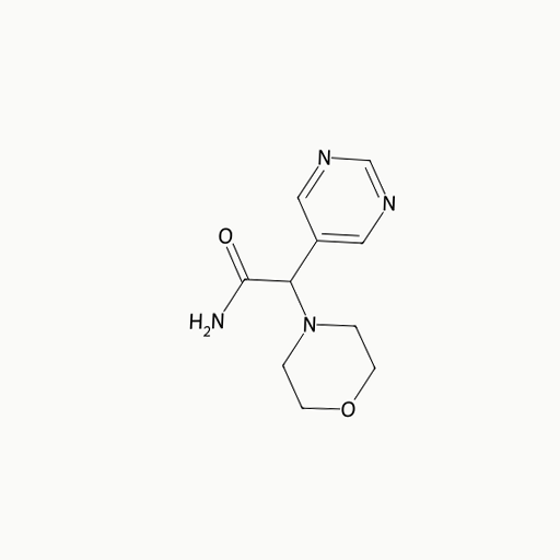 NC(=O)C(c1cncnc1)N1CCOCC1